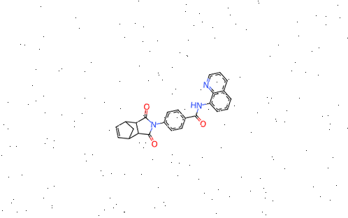 O=C(Nc1cccc2cccnc12)c1ccc(N2C(=O)C3C4C=CC(C4)C3C2=O)cc1